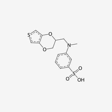 CN(CC1COc2cscc2O1)c1cccc(S(=O)(=O)O)c1